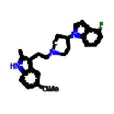 COc1ccc2[nH]c(C)c(CCN3CCC(n4ccc5c(F)cccc54)CC3)c2c1